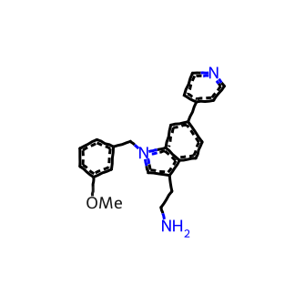 COc1cccc(Cn2cc(CCN)c3ccc(-c4ccncc4)cc32)c1